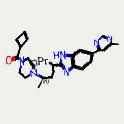 CCCC(C[C@@H](C)N1CCN(C(=O)C2CCC2)CC1)c1nc2ccc(-c3cc(C)ncn3)cc2[nH]1